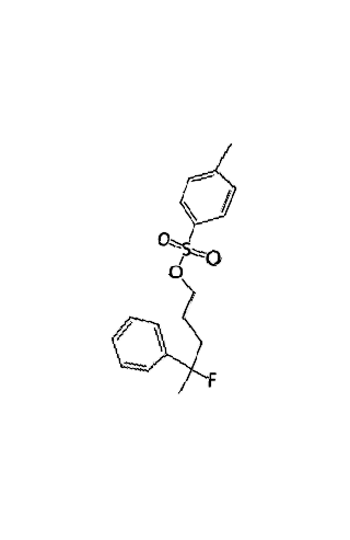 Cc1ccc(S(=O)(=O)OCCCC(C)(F)c2ccccc2)cc1